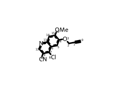 C#CCOc1cc2c(Cl)c(C#N)cnc2cc1OC